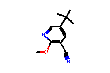 COc1ncc(C(C)(C)C)cc1C#N